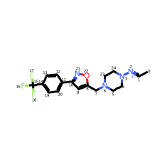 C/C=N/N1CCN(Cc2cc(-c3ccc(C(F)(F)F)cc3)no2)CC1